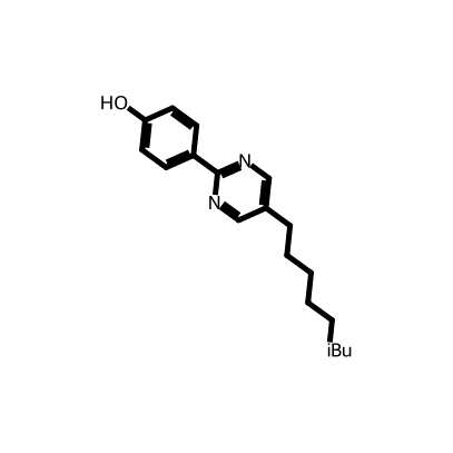 CCC(C)CCCCCc1cnc(-c2ccc(O)cc2)nc1